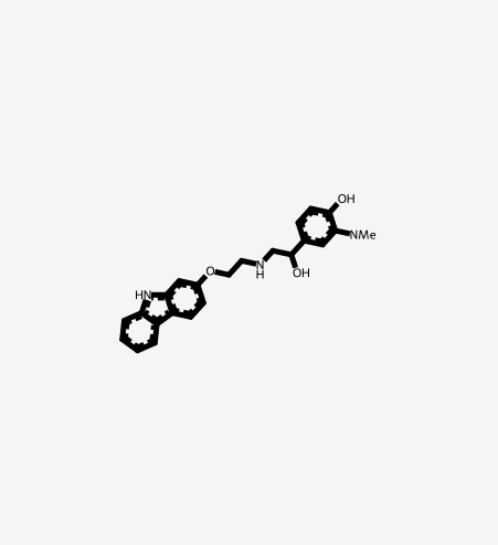 CNc1cc(C(O)CNCCOc2ccc3c(c2)[nH]c2ccccc23)ccc1O